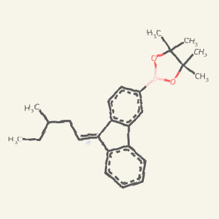 CCC(C)C/C=C1/c2ccccc2-c2cc(B3OC(C)(C)C(C)(C)O3)ccc21